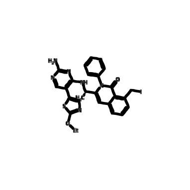 CCOc1ncc(-c2cnc(N)nc2N[C@@H](C)c2cc3cccc(CI)c3c(=O)n2-c2ccccc2)s1